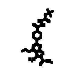 CCCc1cc(N2CCN(C(=O)NNC(=O)OC(C)(C)C)CC2)nc2sc(C(N)=O)c(N)c12